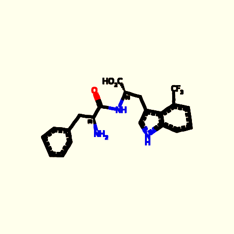 N[C@@H](Cc1ccccc1)C(=O)N[C@@H](Cc1c[nH]c2cccc(C(F)(F)F)c12)C(=O)O